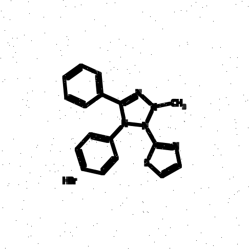 Br.CN1N=C(c2ccccc2)N(c2ccccc2)N1c1nccs1